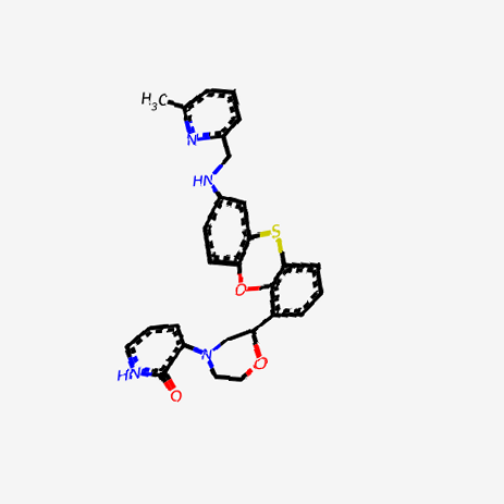 Cc1cccc(CNc2ccc3c(c2)Sc2cccc(C4CN(c5ccc[nH]c5=O)CCO4)c2O3)n1